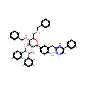 Clc1ccc([C@@H]2O[C@H](COCc3ccccc3)[C@@H](OCc3ccccc3)[C@H](OCc3ccccc3)[C@H]2OCc2ccccc2)cc1Cc1nncc(-c2ccccc2)n1